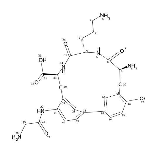 NCCC[C@@H]1NC(=O)[C@@H](N)Cc2cc(ccc2O)-c2ccc(NC(=O)CN)c(c2)C[C@@H](C(=O)O)NC1=O